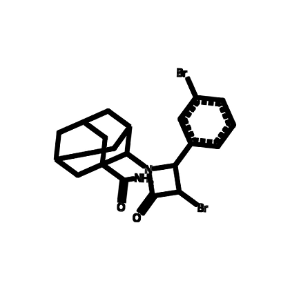 NC(=O)C12CC3CC(CC(C3)C1N1C(=O)C(Br)C1c1cccc(Br)c1)C2